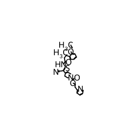 CCOc1ccccc1[C@@H](C)CC(=O)Nc1sc2c(c1C#N)CCN(C(=O)OCCc1ccccn1)C2